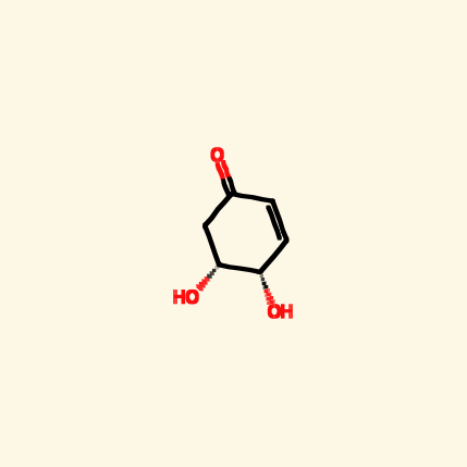 O=C1C=C[C@H](O)[C@H](O)C1